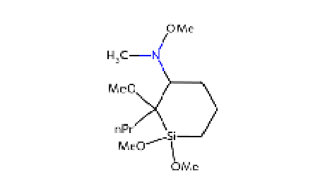 CCCC1(OC)C(N(C)OC)CCC[Si]1(OC)OC